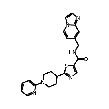 O=C(NCc1ccn2ccnc2c1)c1cnc(C2CCN(c3ccccn3)CC2)s1